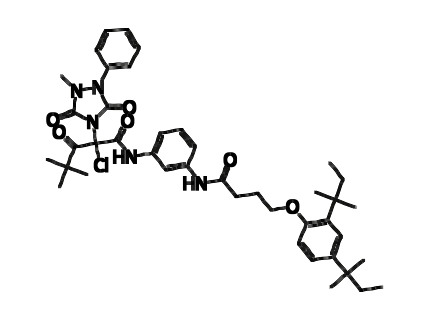 CCC(C)(C)c1ccc(OCCCC(=O)Nc2cccc(NC(=O)C(Cl)(C(=O)C(C)(C)C)n3c(=O)n(C)n(-c4ccccc4)c3=O)c2)c(C(C)(C)CC)c1